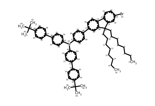 CCCCCCCCC1(CCCCCCCC)c2cc(Br)ccc2-c2ccc(-c3ccc(N(c4ccc(-c5ccc(C(C)(C)C)cc5)cc4)c4ccc(-c5ccc(C(C)(C)C)cc5)cc4)cc3)cc21